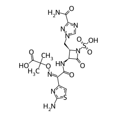 CC(C)(ON=C(C(=O)N[C@@H]1C(=O)N(S(=O)(=O)O)[C@@H]1Cn1cnc(C(N)=O)n1)c1csc(N)n1)C(=O)O